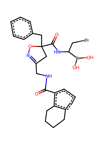 CC(C)CC(NC(=O)C1(Cc2ccccc2)CC(CNC(=O)c2cccc3c2CCCC3)=NO1)B(O)O